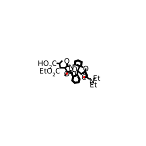 CCOC(=O)C(C(C)C(=O)O)C1C(=O)N(c2cccc3c2C2(OC(=O)c4ccccc42)c2ccc(N(CC)CC)cc2O3)C(=O)C1C